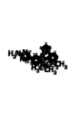 Cc1ccc(-n2cccn2)c(-c2nc3cc(-c4cnc(N)nc4)ccc3n2C(C)(C)C)c1